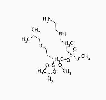 C=C(C)COCCC[Si](OC)(OC)OC.CO[Si](CCCNCCN)(OC)OC